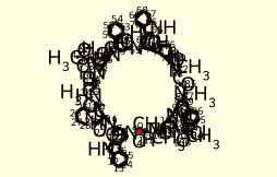 CC1[C@@H]2C(=O)N1[C@@H](Cc1c[nH]c3ccccc13)C(=O)NC(C(=O)N1CCCCC1)CC(=O)N[C@@H](C)C(=O)N[C@@H](CCS(C)(=O)=O)C(=O)N(C)[C@@H](Cc1ccccc1)C(=O)N[C@@](C)(Cc1c[nH]c3ccccc13)C(=O)C1CCC[C@H]1C(=O)N(C)CC(=O)N(C)C(Cc1ccc(Cl)cc1)C(=O)N[C@@H](CCS(C)(=O)=O)C(=O)N2C